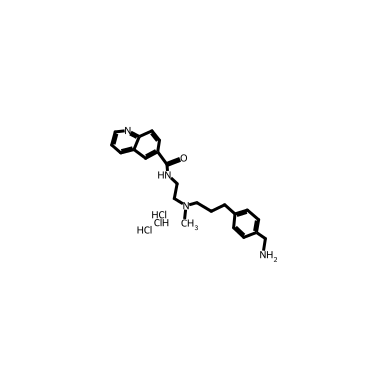 CN(CCCc1ccc(CN)cc1)CCNC(=O)c1ccc2ncccc2c1.Cl.Cl.Cl